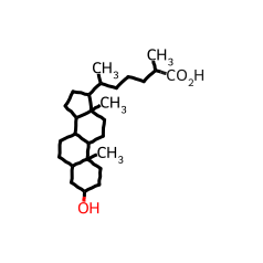 CC(CCCC(C)C1CCC2C3CCC4CC(O)CCC4(C)C3CCC12C)C(=O)O